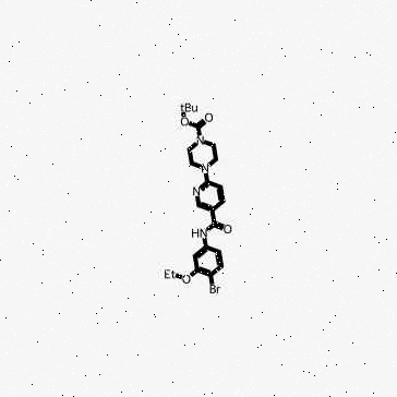 CCOc1cc(NC(=O)c2ccc(N3CCN(C(=O)OC(C)(C)C)CC3)nc2)ccc1Br